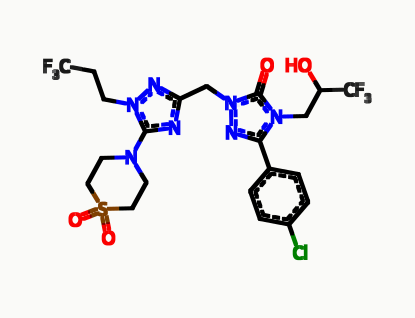 O=c1n(Cc2nc(N3CCS(=O)(=O)CC3)n(CCC(F)(F)F)n2)nc(-c2ccc(Cl)cc2)n1CC(O)C(F)(F)F